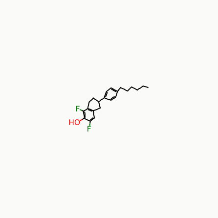 CCCCCCc1ccc(C2CCc3c(cc(F)c(O)c3F)C2)cc1